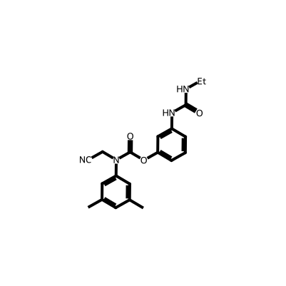 CCNC(=O)Nc1cccc(OC(=O)N(CC#N)c2cc(C)cc(C)c2)c1